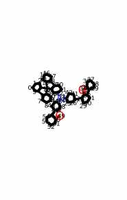 c1ccc2c(c1)-c1ccccc1C21c2ccccc2-c2ccc(N(c3ccc(-c4cccc5c4oc4ccccc45)cc3)c3ccc4c(c3)oc3ccccc34)cc21